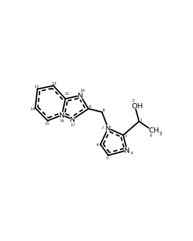 CC(O)c1nccn1Cc1nc2ccccn2n1